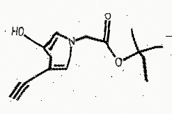 C#Cc1cn(C(=O)OC(C)(C)C)cc1O